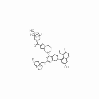 CCc1c(F)ccc2cc(O)cc(N3CCc4c(nc(OC[C@@]56CCCN5C[C@H](F)C6)nc4N4CCCn5nc(C(=O)N6C[C@@H]7C[C@H](C6)[C@H](O)C7)cc5C4)C3)c12